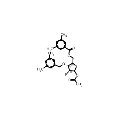 CC(=O)OC1S[C@H](COC(=O)c2cc(C)cc(C)c2)[C@@H](OCc2cc(C)cc(C)c2)[C@@H]1F